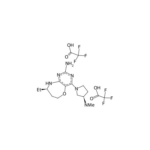 CC[C@@H]1CCOc2c(nc(N)nc2N2CC[C@@H](NC)C2)N1.O=C(O)C(F)(F)F.O=C(O)C(F)(F)F